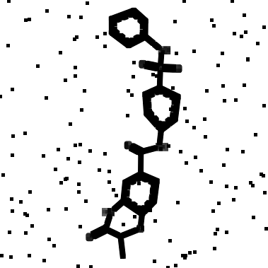 CC1Oc2ccc(C(=O)Nc3ccc(S(=O)(=O)Nc4ccccc4)cc3)cc2NC1=O